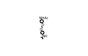 C=C(C)Nc1ccc(OCCOc2ccc(NC(C)=O)cc2)cc1